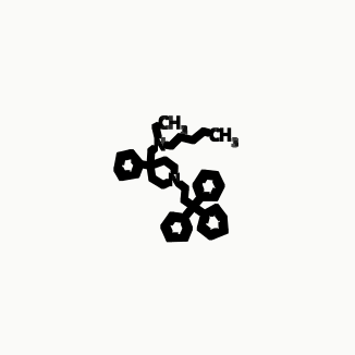 CCCCCN(CC)CC1(c2ccccc2)CCN(CCC(c2ccccc2)(c2ccccc2)c2ccccc2)CC1